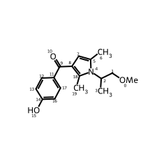 COCC(C)n1c(C)cc(C(=O)c2ccc(O)cc2)c1C